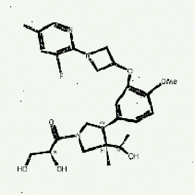 COc1ccc([C@@H]2CN(C(=O)[C@@H](O)CO)C[C@@]2(C)[C@@H](C)O)cc1OC1CN(c2ncc(C)cc2F)C1